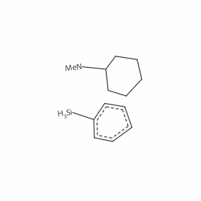 CNC1CCCCC1.[SiH3]c1ccccc1